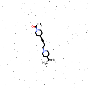 CC(=O)N1CCC(C#CCCN2CCC(C(C)C)CC2)CC1